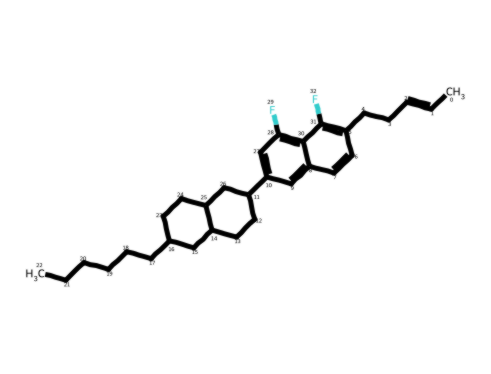 CC=CCCc1ccc2cc(C3CCC4CC(CCCCCC)CCC4C3)cc(F)c2c1F